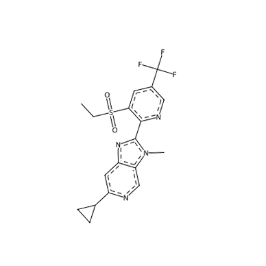 CCS(=O)(=O)c1cc(C(F)(F)F)cnc1-c1nc2cc(C3CC3)ncc2n1C